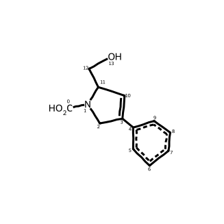 O=C(O)N1CC(c2ccccc2)=CC1CO